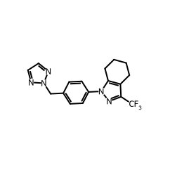 FC(F)(F)c1nn(-c2ccc(Cn3nccn3)cc2)c2c1CCCC2